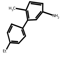 CCc1ccc(-c2cc(N)ccc2C)cc1